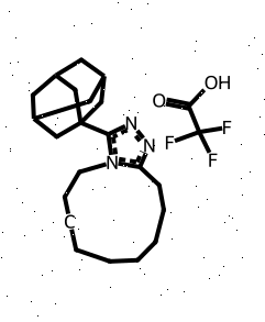 C1CCCCc2nnc(C34CC5CC(CC(C5)C3)C4)n2CCCC1.O=C(O)C(F)(F)F